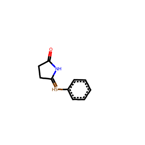 O=C1CCC(=[SH]c2ccccc2)N1